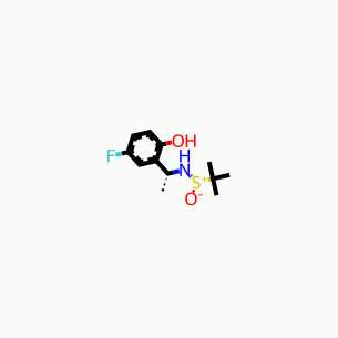 C[C@@H](N[S@@+]([O-])C(C)(C)C)c1cc(F)ccc1O